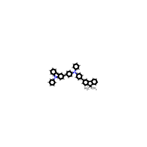 CC1(C)c2ccccc2-c2cc(-c3ccc(N(c4ccccc4)c4ccc(-c5ccc6c(c5)c5ccccc5n6-c5ccccc5)cc4)cc3)ccc21